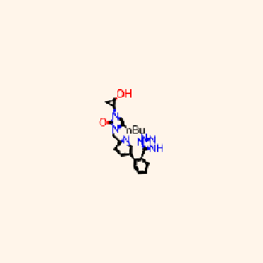 CCCCc1cn(C2CC2O)c(=O)n1Cc1ccc(-c2ccccc2-c2nnn[nH]2)cn1